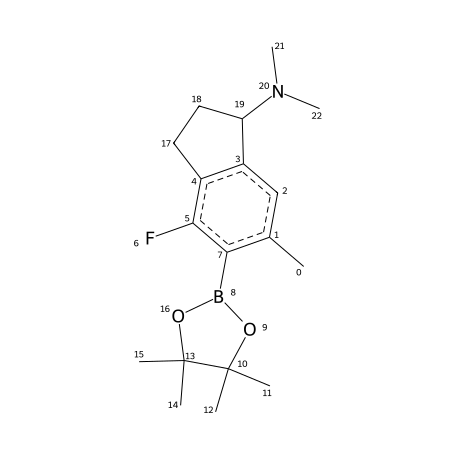 Cc1cc2c(c(F)c1B1OC(C)(C)C(C)(C)O1)CCC2N(C)C